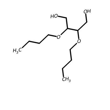 CCCCOC(CO)C(CO)OCCCC